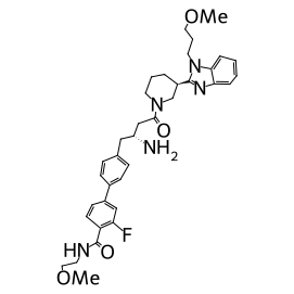 COCCCn1c([C@@H]2CCCN(C(=O)C[C@H](N)Cc3ccc(-c4ccc(C(=O)NCCOC)c(F)c4)cc3)C2)nc2ccccc21